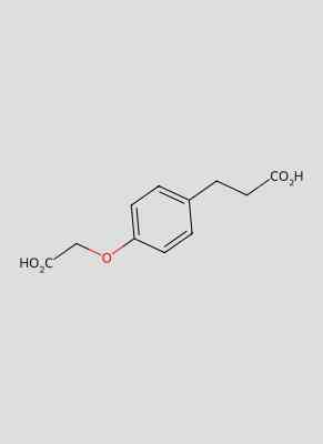 O=C(O)CCc1ccc(OCC(=O)O)cc1